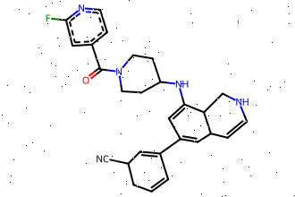 N#CC1C=C(C2=CC3C=CNCC3C(NC3CCN(C(=O)c4ccnc(F)c4)CC3)=C2)C=CC1